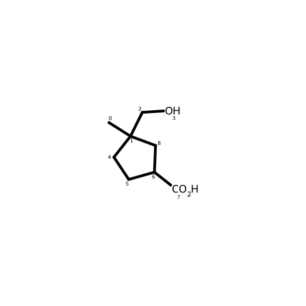 CC1(CO)CCC(C(=O)O)C1